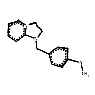 COc1ccc(CN2CC[n+]3ccccc32)cc1